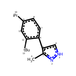 Cc1n[nH]cc1-c1ccc(C(C)C)cc1C(C)(C)C